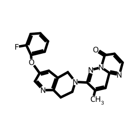 Cc1cc2nccc(=O)n2nc1N1CCc2ncc(Oc3ccccc3F)cc2C1